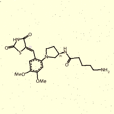 COc1cc(/C=C2\SC(=O)NC2=O)c(N2CC[C@@H](NC(=O)CCCCN)C2)cc1OC